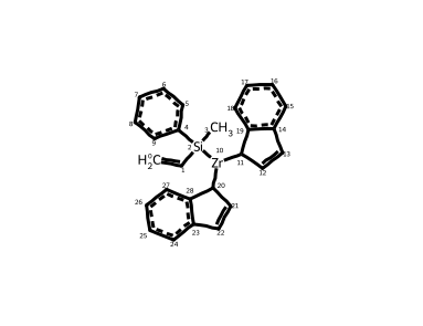 C=C[Si](C)(c1ccccc1)[Zr]([CH]1C=Cc2ccccc21)[CH]1C=Cc2ccccc21